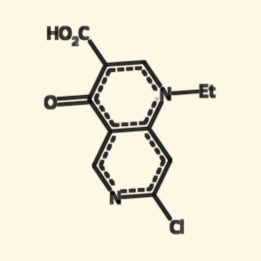 CCn1cc(C(=O)O)c(=O)c2cnc(Cl)cc21